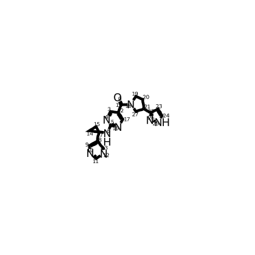 O=C(c1cnc(NC2(c3cncnc3)CC2)nc1)N1CCC(c2cc[nH]n2)C1